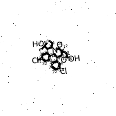 CCC(CC(C)(C)O)N1C(=O)[C@@](C)(CC(=O)O)C[C@H](c2cccc(Cl)c2)[C@H]1c1ccc(Cl)cc1